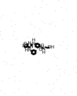 O=S(=O)(NCCO)c1ccc(Nc2nc(Nc3ccccc3)c3cnoc3n2)cc1